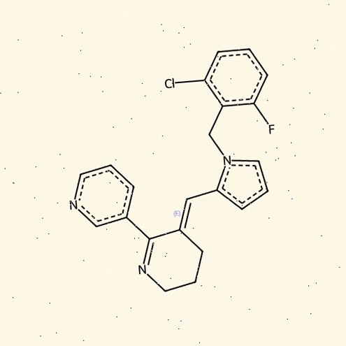 Fc1cccc(Cl)c1Cn1cccc1/C=C1\CCCN=C1c1cccnc1